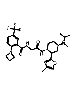 Cc1noc([C@@H]2C[C@H](N(C)C(C)C)CC[C@@H]2NC(=O)CNC(=O)c2cc(C(F)(F)F)ccc2N2CCC2)n1